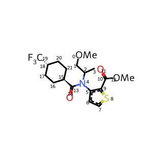 COCC(C)N(c1ccsc1C(=O)OC)C(=O)[C@H]1CC[C@H](C(F)(F)F)CC1